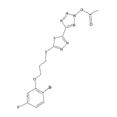 CC(=O)On1nnc(-c2nnc(SCCCOc3cc(F)ccc3Br)s2)n1